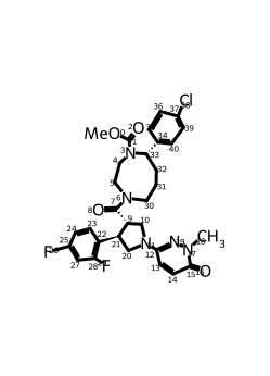 COC(=O)N1CCN(C(=O)[C@@H]2CN(c3ccc(=O)n(C)n3)C[C@H]2c2ccc(F)cc2F)CCC[C@H]1c1ccc(Cl)cc1